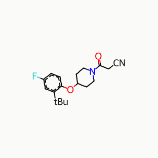 CC(C)(C)c1cc(F)ccc1OC1CCN(C(=O)CC#N)CC1